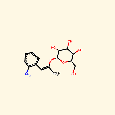 Nc1ccccc1/C=C(\O[C@@H]1O[C@H](CO)C(O)[C@H](O)[C@H]1O)C(=O)O